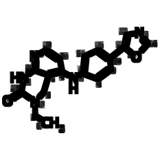 CCN1Cc2c(Nc3ccc(-c4cnco4)cc3)ccnc2NC1=O